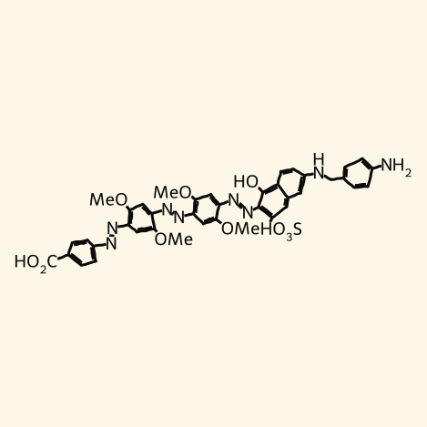 COc1cc(N=Nc2cc(OC)c(N=Nc3c(S(=O)(=O)O)cc4cc(NCc5ccc(N)cc5)ccc4c3O)cc2OC)c(OC)cc1N=Nc1ccc(C(=O)O)cc1